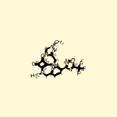 CN(Cc1ccc(-c2noc(C(F)(F)F)n2)cn1)c1c(NCc2ncn(C)n2)c(=O)c1=O